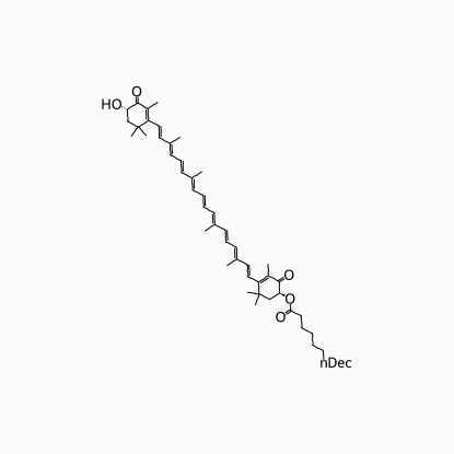 CCCCCCCCCCCCCCCC(=O)O[C@H]1CC(C)(C)C(/C=C/C(C)=C/C=C/C(C)=C/C=C/C=C(C)/C=C/C=C(C)/C=C/C2=C(C)C(=O)[C@@H](O)CC2(C)C)=C(C)C1=O